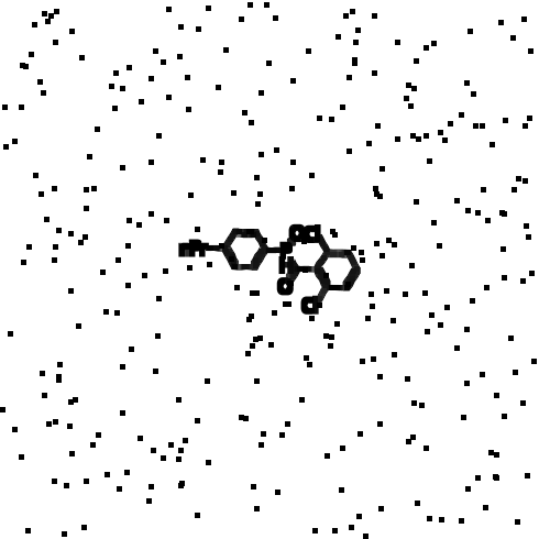 CCCc1ccc([PH](=O)C(=O)c2c(Cl)cccc2Cl)cc1